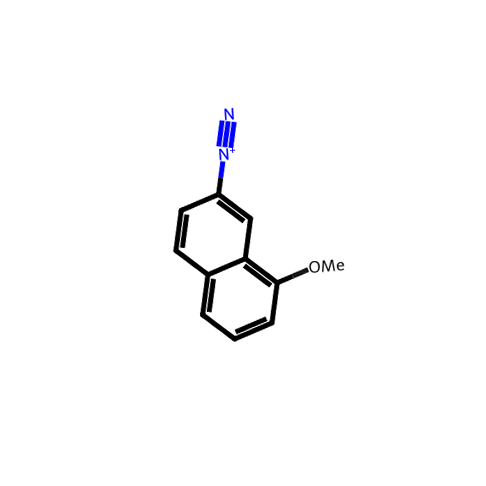 COc1cccc2ccc([N+]#N)cc12